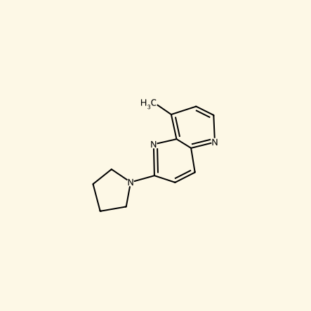 Cc1ccnc2ccc(N3CCCC3)nc12